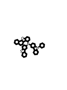 c1ccc(-n2c3ccccc3c3cc(N(c4ccc5sc6ccccc6c5c4)c4cccc5oc6c7ccccc7ccc6c45)ccc32)cc1